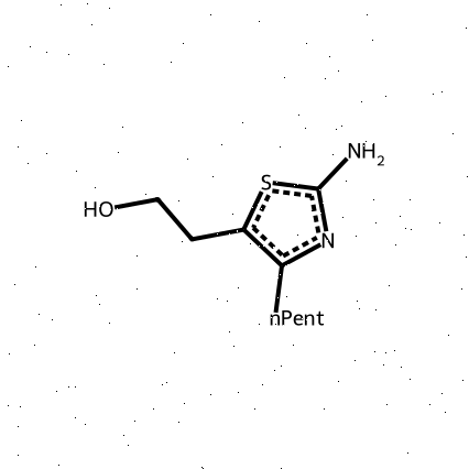 CCCCCc1nc(N)sc1CCO